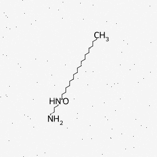 CCCCCCCCCCCCCCCCCCCC(=O)NCCCCN